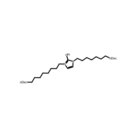 CCCCCCCCCCCCCCCCCC[n+]1ccn(CCCCCCCCCCCCCCCCC)c1CCC